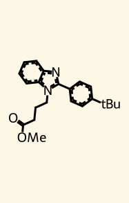 COC(=O)CCCn1c(-c2ccc(C(C)(C)C)cc2)nc2ccccc21